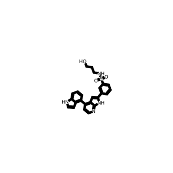 O=S(=O)(NCCCO)c1cccc(-c2cc3c(-c4cccc5[nH]ccc45)ccnc3[nH]2)c1